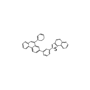 C1=CCCC(c2cc3ccccc3c3ccc(-c4cccc(-c5cc6ccc7ccccc7c6s5)c4)cc23)=C1